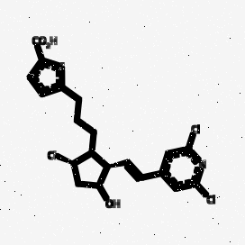 O=C(O)c1ccc(CCCC2[C@@H](/C=C/c3cc(Cl)nc(Cl)c3)C(O)C[C@H]2Cl)s1